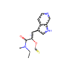 CCN(C)C(=O)/C(=C/c1c[nH]c2cnccc12)OC=S